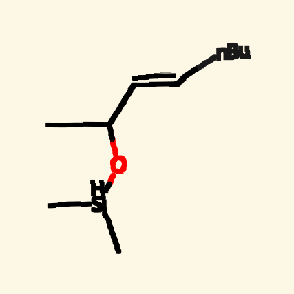 CCCCC=CC(C)O[SiH](C)C